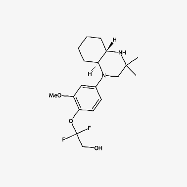 COc1cc(N2CC(C)(C)N[C@H]3CCCC[C@@H]32)ccc1OC(F)(F)CO